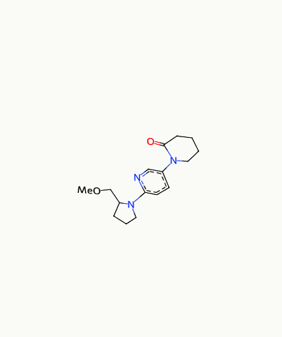 COCC1CCCN1c1ccc(N2CCCCC2=O)cn1